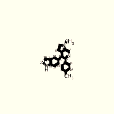 Cc1ccc(-c2ncc3c(ccn3C)c2-c2ccc3[nH]ncc3c2)cc1